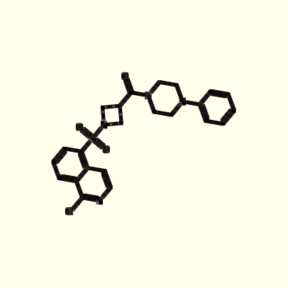 O=C(C1CN(S(=O)(=O)c2cccc3c(Cl)nccc23)C1)N1CCN(c2ccccc2)CC1